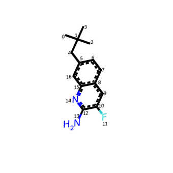 CC(C)(C)Cc1ccc2cc(F)c(N)nc2c1